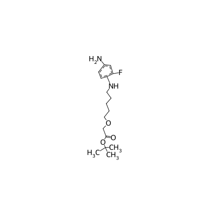 CC(C)(C)OC(=O)COCCCCCNc1ccc(N)cc1F